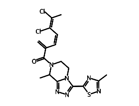 C=C(/C=C\C(Cl)=C(/C)Cl)C(=O)N1CCn2c(-c3nc(C)ns3)nnc2C1C